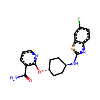 NC(=O)c1cccnc1O[C@H]1CC[C@H](Nc2nc3ccc(F)cc3s2)CC1